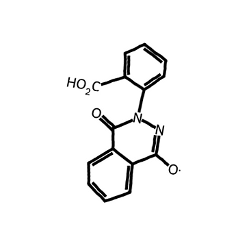 [O]c1nn(-c2ccccc2C(=O)O)c(=O)c2ccccc12